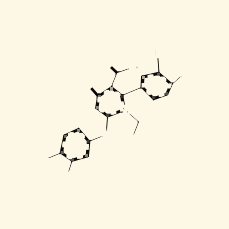 CCn1c(Oc2ccc(F)c(F)c2)cc(=O)c(C(=O)O)c1-c1ccc(F)c(F)c1